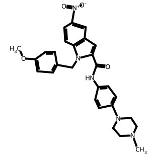 COc1ccc(Cn2c(C(=O)Nc3ccc(N4CCN(C)CC4)cc3)cc3cc([N+](=O)[O-])ccc32)cc1